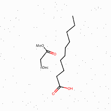 CCCCCCCCCC(=O)O.CCCCCCCCCCCC(=O)OC